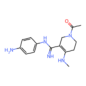 CNC1=C(C(=N)Nc2ccc(N)cc2)CN(C(C)=O)CC1